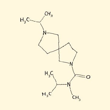 CC(C)N1CCC2(CCN(C(=O)N(C)C(C)C)C2)C1